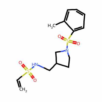 C=CS(=O)(=O)NCC1CCN(S(=O)(=O)c2ccccc2C)C1